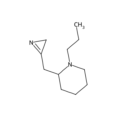 CCCN1CCCCC1CC1=NC1